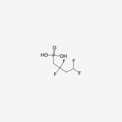 O=P(O)(O)CC(F)(F)CC(F)F